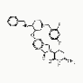 C=C1CCC(N2Cc3cc(OC4CN(Cc5ccc(F)cc5F)CCC4NCc4ccccc4)ccc3C2=O)C(=O)N1